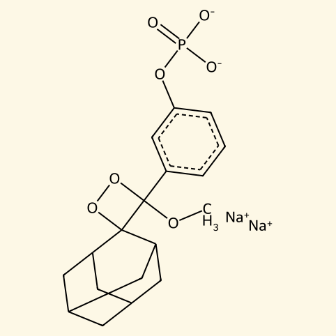 COC1(c2cccc(OP(=O)([O-])[O-])c2)OOC12C1CC3CC(C1)CC2C3.[Na+].[Na+]